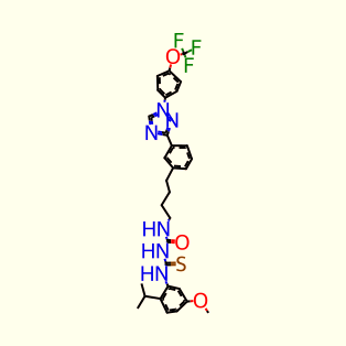 COc1ccc(C(C)C)c(NC(=S)NC(=O)NCCCCc2cccc(-c3ncn(-c4ccc(OC(F)(F)F)cc4)n3)c2)c1